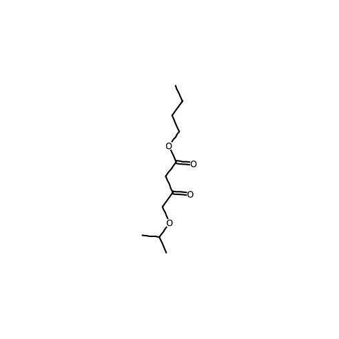 CCCCOC(=O)CC(=O)COC(C)C